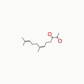 CC(=O)C(=O)CCC=C(C)CCC=C(C)C